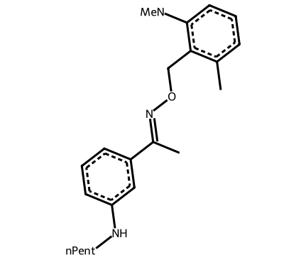 CCCCCNc1cccc(/C(C)=N/OCc2c(C)cccc2NC)c1